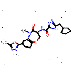 Cc1nnc(-c2ccc3c(c2)N(C)C(=O)C(NC(=O)c2nnc(CC4CCCC4)[nH]2)CO3)o1